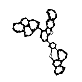 c1ccc2cc3c(cc2c1)oc1c(-c2ccc4c(c2)Oc2cc5ccccc5c5cccc-4c25)ccc(-c2ccc4ccc5cccc6ccc2c4c56)c13